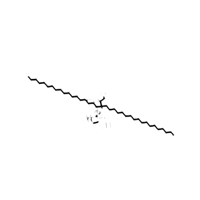 CCCCCCCCCCCCCCCCCCC(CCCCCCCCCCCCCCCCCC)(OP(=O)(O)O)C(O)CO.NCCO